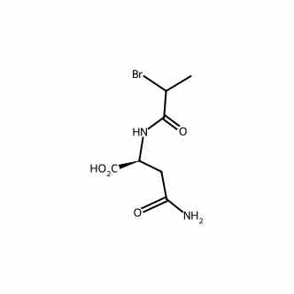 CC(Br)C(=O)N[C@@H](CC(N)=O)C(=O)O